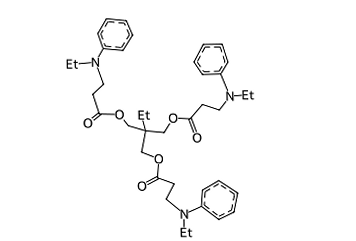 CCN(CCC(=O)OCC(CC)(COC(=O)CCN(CC)c1ccccc1)COC(=O)CCN(CC)c1ccccc1)c1ccccc1